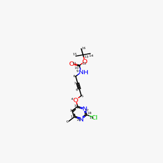 Cc1cc(OCC#CCNC(=O)OC(C)(C)C)nc(Cl)n1